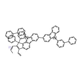 C=CC1=C(/C=C\C)C(c2ccccc2)(c2ccccc2)c2c1ccc1c3cc(-c4ccc5c(c4)c4ccccc4n5-c4cccc(-c5ccccc5)c4)ccc3n(-c3cccc(-c4ccccc4)c3)c21